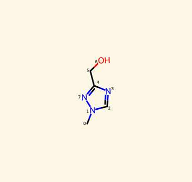 Cn1cnc(CO)n1